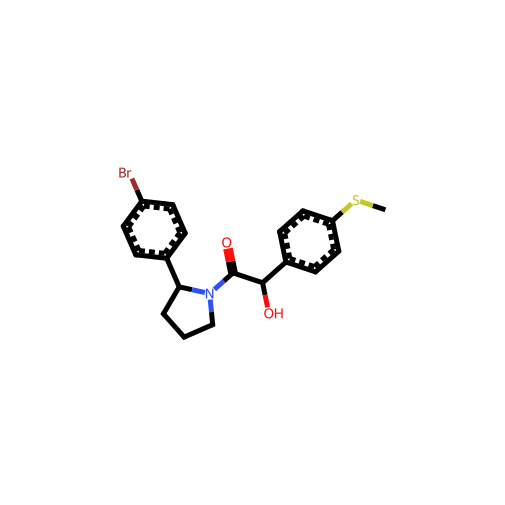 CSc1ccc(C(O)C(=O)N2CCCC2c2ccc(Br)cc2)cc1